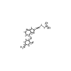 CCN(CC)CCC#Cc1cc2nccc(Oc3ccc(N)cc3F)c2s1